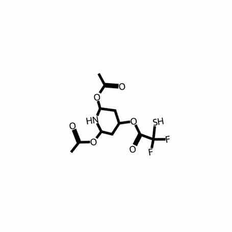 CC(=O)OC1CC(OC(=O)C(F)(F)S)CC(OC(C)=O)N1